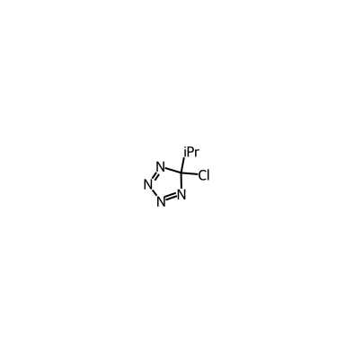 CC(C)C1(Cl)N=NN=N1